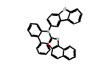 c1ccc(-c2ccccc2N(c2ccc3oc4ccccc4c3c2)c2nc3ccc4ccccc4c3o2)cc1